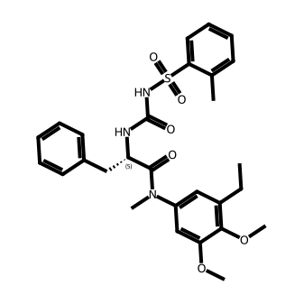 CCc1cc(N(C)C(=O)[C@H](Cc2ccccc2)NC(=O)NS(=O)(=O)c2ccccc2C)cc(OC)c1OC